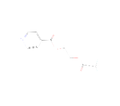 O=C(OCCOC(=O)C(F)F)c1ccncc1